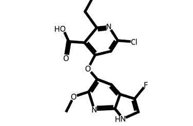 CCc1nc(Cl)cc(Oc2cc3c(F)c[nH]c3nc2OC)c1C(=O)O